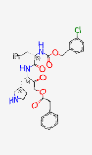 CC(C)C[C@H](NC(=O)OCc1cccc(Cl)c1)C(=O)N[C@@H](C[C@@H]1CCNC1)C(=O)COC(=O)Cc1ccccc1